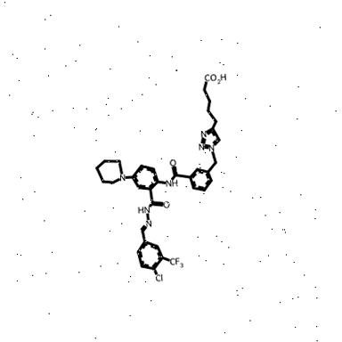 O=C(O)CCCCc1cn(Cc2cccc(C(=O)Nc3ccc(N4CCCCC4)cc3C(=O)NN=Cc3ccc(Cl)c(C(F)(F)F)c3)c2)nn1